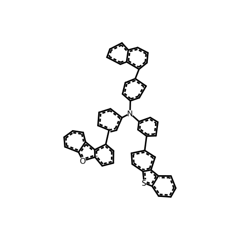 c1cc(-c2ccc3sc4ccccc4c3c2)cc(N(c2ccc(-c3cccc4ccccc34)cc2)c2cccc(-c3cccc4oc5ccccc5c34)c2)c1